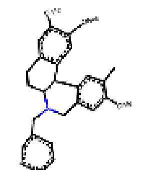 COc1cc2c(cc1C)C1c3cc(OC)c(OC)cc3CCC1N(Cc1ccccc1)C2